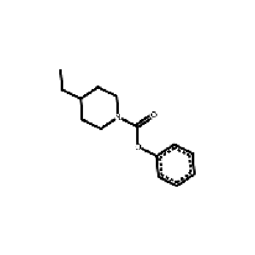 CCC1CCN(C(=O)Oc2ccccc2)CC1